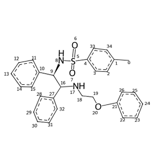 Cc1ccc(S(=O)(=O)N[C@H](c2ccccc2)C(NCCOc2ccccc2)c2ccccc2)cc1